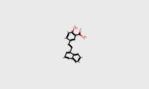 O=C(O)c1cc(C=Cc2cccc3ccccc23)ccc1O